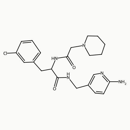 Nc1ccc(CNC(=O)C(Cc2cccc(Cl)c2)NC(=O)CN2CCCCC2)cn1